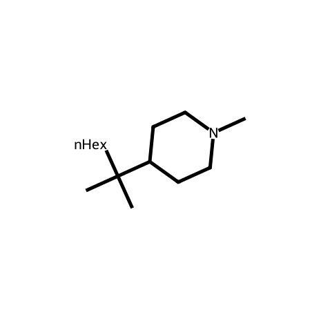 CCCCCCC(C)(C)C1CCN(C)CC1